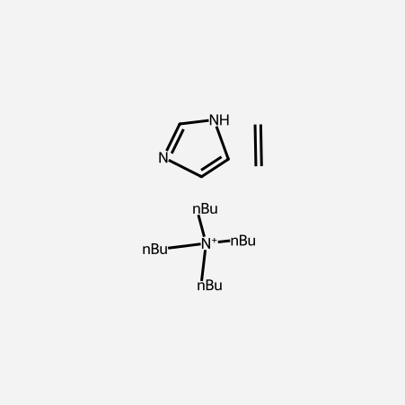 C=C.CCCC[N+](CCCC)(CCCC)CCCC.c1c[nH]cn1